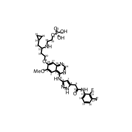 COc1cc2c(Nc3cc(CC(=O)Nc4cccc(F)c4F)[nH]n3)ncnc2cc1OCCC(CC1CC1)NCCOP(=O)(O)O